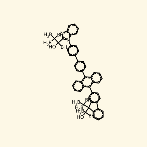 BC(B)(B)C(B)(O)c1nc2ccccc2n1-c1ccc(-c2ccc(-c3c4ccccc4c(-c4ccc5c(c4)C(C(B)(B)B)(C(B)(B)O)c4ccccc4-5)c4ccccc34)cc2)cc1